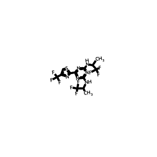 CC(Nc1nc(NC(C)C(F)(F)F)nc(-c2nc(C(F)(F)F)cs2)n1)C(F)(F)F